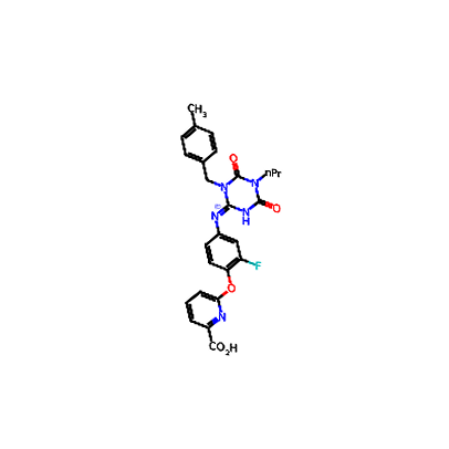 CCCn1c(=O)[nH]/c(=N\c2ccc(Oc3cccc(C(=O)O)n3)c(F)c2)n(Cc2ccc(C)cc2)c1=O